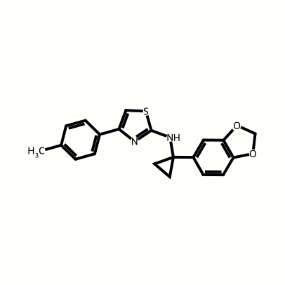 Cc1ccc(-c2csc(NC3(c4ccc5c(c4)OCO5)CC3)n2)cc1